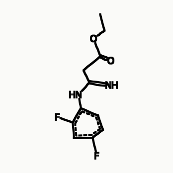 CCOC(=O)CC(=N)Nc1ccc(F)cc1F